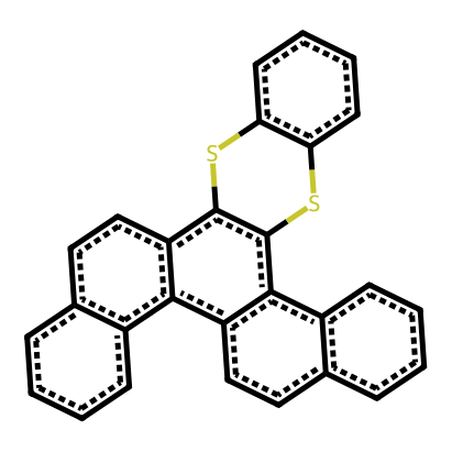 c1ccc2c(c1)Sc1c(c3c4ccccc4ccc3c3c1ccc1ccccc13)S2